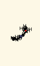 CN(CCCOc1cccc(/C=N/NC(=O)OCCN(C)Cc2cccc3c(N(C)C)cccc23)c1)CCC(O)([PH](=O)O)P(C)(=O)O